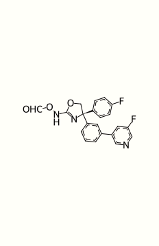 O=CONC1=N[C@@](c2ccc(F)cc2)(c2cccc(-c3cncc(F)c3)c2)CO1